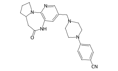 N#Cc1ccc(N2CCN(Cc3cnc4c(c3)NC(=O)CC3CCCN43)CC2)cc1